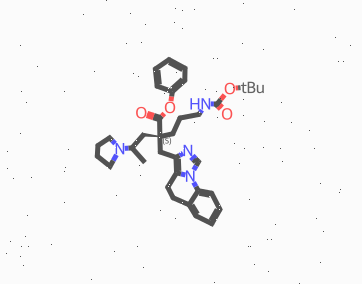 CC(C[C@@](CCCNC(=O)OC(C)(C)C)(Cc1ncn2c1CCc1ccccc1-2)C(=O)Oc1ccccc1)N1CCCC1